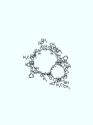 COC(=O)CC[C@@H]1NC(=O)CNC(=O)[C@H](CC(C)C)NC(=O)[C@H](Cc2cnc[nH]2)NC(=O)[C@H](Cc2c[nH]c3ccccc23)NC(=O)[C@H](C)NC(=O)[C@@H]2CSSC[C@H](NC(=O)C(Cc3c[nH]c4ccccc34)NC(=O)[C@H](C(C)C)NC(=O)[C@H](CC(C)C)NC1=O)C(=O)N[C@@H]([C@@H](C)O)C(=O)N1CCC[C@@H]1C(=O)N1C[C@@H](NC(C)C)C[C@H]1C(=O)N[C@@H](CC(=O)O)C(=O)N2